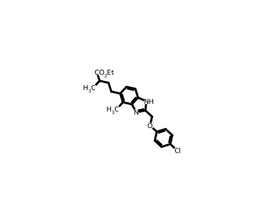 CCOC(=O)C(C)CCc1ccc2[nH]c(COc3ccc(Cl)cc3)nc2c1C